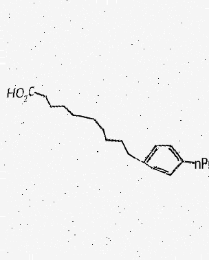 CCCc1ccc(CCCCCCCCC(=O)O)cc1